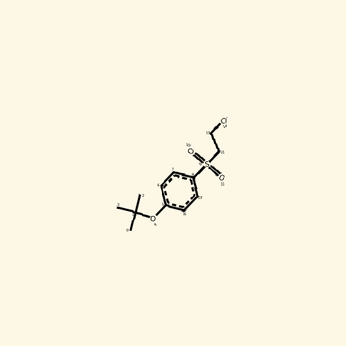 CC(C)(C)Oc1ccc(S(=O)(=O)CCCl)cc1